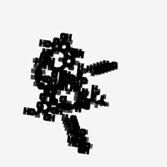 CN[C@H](CC(C)C)C(=O)N[C@H]1C(=O)N[C@@H](CC(N)=O)C(=O)N[C@H]2C(=O)N[C@H]3C(=O)N[C@H](C(=O)N[C@@H](C(=O)O)c4cc(O)cc(O)c4-c4cc3ccc4O)[C@H](O)c3ccc(c(Cl)c3)Oc3cc2cc(c3O[C@@H]2O[C@H](CO)[C@@H](O)[C@H](O)[C@H]2O[C@H]2C[C@](C)(N)C(O)[C@H](C)O2)Oc2ccc(cc2Cl)[C@H]1O.O.O.O.O.O.O.O.O.O.O.O=P(O)(O)OP(=O)(O)O